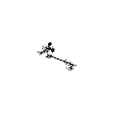 CC(C)(C)[C@H](c1cc(-c2cc(F)ccc2F)cn1Cc1ccccc1)N(CCCNC(F)(F)C(=O)O)C(=O)CSC[C@H](NC(=O)CCOCCOCCOCCOCCNC(=O)CNC(=O)C(CC(=O)O)SC[C@H](N)C(=O)O)C(=O)O